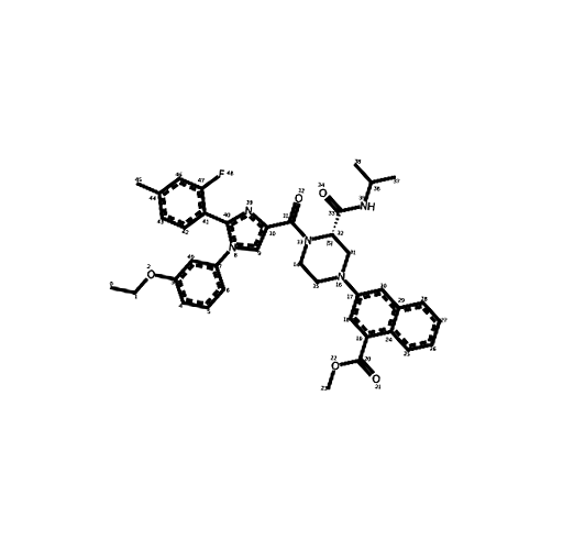 CCOc1cccc(-n2cc(C(=O)N3CCN(c4cc(C(=O)OC)c5ccccc5c4)C[C@H]3C(=O)NC(C)C)nc2-c2ccc(C)cc2F)c1